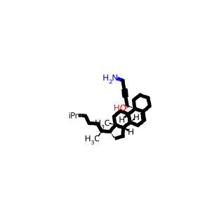 CC(C)CCC[C@@H](C)[C@H]1CC[C@H]2[C@@H]3CC=C4CCCC[C@]4(C(O)C#CCN)[C@H]3CC[C@]12C